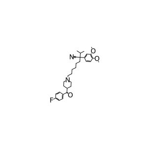 COc1ccc(C(C#N)(CCCCCCN2CCC(C(=O)c3ccc(F)cc3)CC2)C(C)C)cc1OC